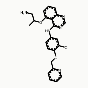 CC(CN)Oc1cccc2ncnc(Nc3ccc(OCc4ccccn4)c(Cl)c3)c12